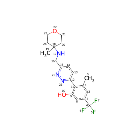 Cc1cc(C(F)(F)F)cc(O)c1-c1ccc(CNC2(C)CCOCC2)nn1